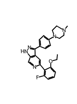 CCOc1cccc(F)c1-c1cc2c(-c3ccc(N4CCN(C)CC4)cc3)n[nH]c2cn1